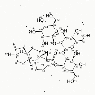 C=C1C[C@@]23CC[C@H]4[C@@](C)(CCC[C@@]4(C)C(=O)O[C@@H]4O[C@H](CO)[C@@H](O)[C@H](O)[C@H]4O[C@@H]4O[C@H](CO)[C@@H](O)[C@H](O)[C@H]4O[C@@H]4O[C@H](CO)[C@@H](O)[C@H](O)[C@H]4O)[C@@H]2CC[C@@H]1C3